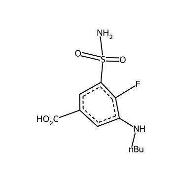 CCCCNc1cc(C(=O)O)cc(S(N)(=O)=O)c1F